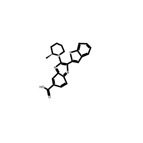 C[C@H]1CCCCN1c1nc2cc(C(=O)O)ccc2nc1-c1cc2ccccc2s1